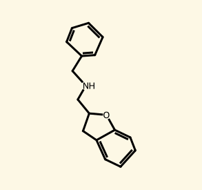 c1ccc(CNCC2Cc3ccccc3O2)cc1